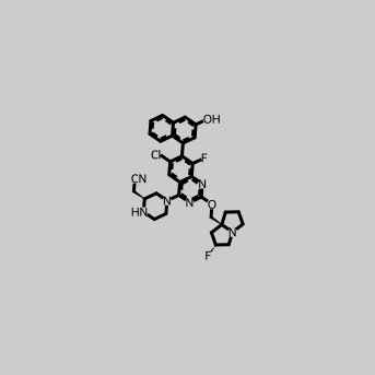 N#CC[C@H]1CN(c2nc(OC[C@@]34CCCN3C[C@H](F)C4)nc3c(F)c(-c4cc(O)cc5ccccc45)c(Cl)cc23)CCN1